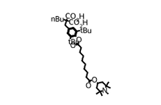 CCCCC(Cc1cc(C(C)(C)C)c(OC(=O)CCCCCCCCC(=O)OC2CC(C)(C)N(C)C(C)(C)C2)c(C(C)(C)C)c1)(C(=O)O)C(=O)O